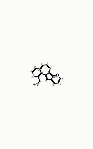 OCC1=c2c(cccc3c2cc2cccoc23)C=CS1